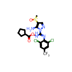 C[S+]([O-])c1cnn(C(=Nc2c(Cl)cc(C(F)(F)F)cc2Cl)NOC(=O)C2CCCC2)c1N